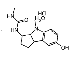 CNC(=O)NC1CCC2c3cc(O)ccc3N(C)C12.Cl.O